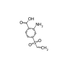 C=CS(=O)(=O)c1ccc(C(=O)O)c(N)c1